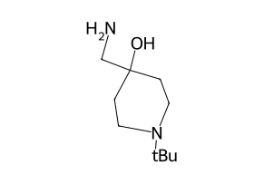 CC(C)(C)N1CCC(O)(CN)CC1